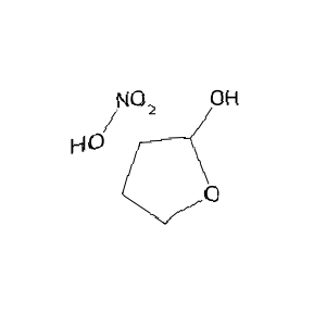 O=[N+]([O-])O.OC1CCCO1